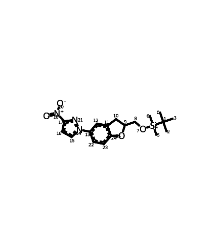 CC(C)(C)[Si](C)(C)OCC1Cc2cc(-n3ccc([N+](=O)[O-])n3)ccc2O1